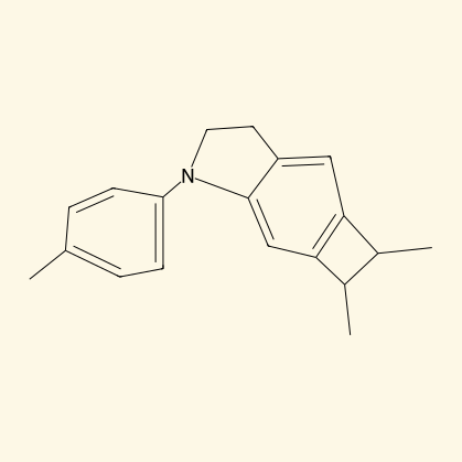 Cc1ccc(N2CCc3cc4c(cc32)C(C)C4C)cc1